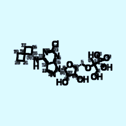 CC(CO)(OC[C@H]1O[C@@H](n2ncc3c(N[C@H]4CCC45CCC5)nc(Cl)nc32)[C@H](O)[C@@H]1O)P(=O)(O)O